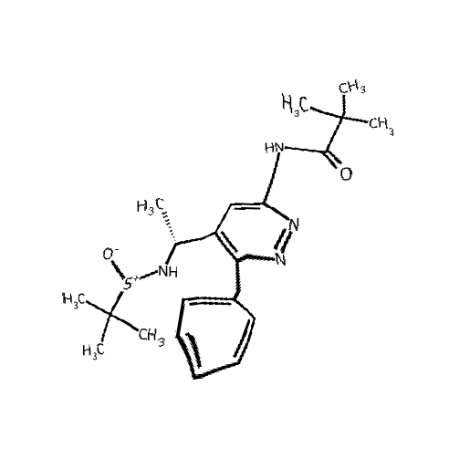 C[C@@H](N[S+]([O-])C(C)(C)C)c1cc(NC(=O)C(C)(C)C)nnc1-c1ccccc1